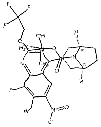 CC(C)(C)OC(=O)N1[C@@H]2CC[C@H]1CN(c1nc(OCC(F)(F)F)nc3c(F)c(Br)c([N+](=O)[O-])cc13)C2